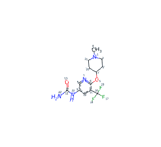 CN1CCC(Oc2ncc(NC(N)=O)cc2C(F)(F)F)CC1